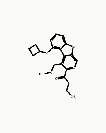 CCOC(=O)c1ncc2[nH]c3cccc(OC4CCC4)c3c2c1COC